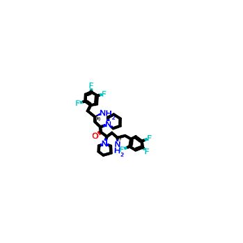 N[C@H](Cc1cc(F)c(F)cc1F)CC(C(=O)C(C[C@H](N)Cc1cc(F)c(F)cc1F)N1CCCCC1)N1CCCCC1